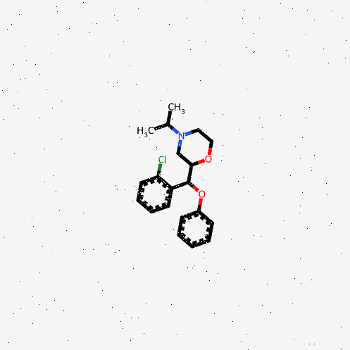 CC(C)N1CCOC(C(Oc2ccccc2)c2ccccc2Cl)C1